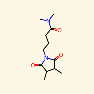 CC1C(=O)N(CCCC(=O)N(C)C)C(=O)C1C